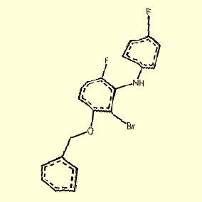 Fc1ccc(Nc2c(F)ccc(OCc3ccccc3)c2Br)cc1